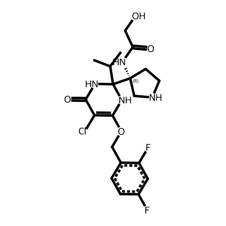 CC(C)C1([C@@]2(NC(=O)CO)CCNC2)NC(=O)C(Cl)=C(OCc2ccc(F)cc2F)N1